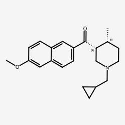 COc1ccc2cc(C(=O)[C@H]3CN(CC4CC4)CC[C@H]3C)ccc2c1